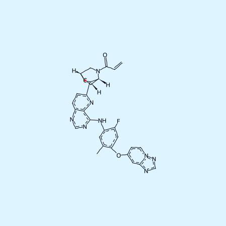 C=CC(=O)N1C[C@H]2CC[C@@H]1[C@H](c1ccc3ncnc(Nc4cc(C)c(Oc5ccn6ncnc6c5)cc4F)c3n1)C2